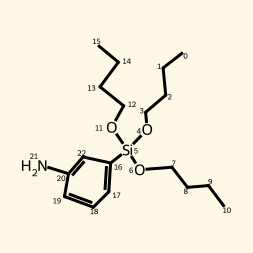 CCCCO[Si](OCCCC)(OCCCC)c1cccc(N)c1